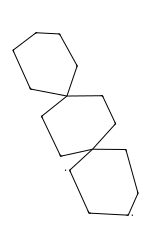 [CH]1C[CH]C2(CC1)CCC1(CCCCC1)CC2